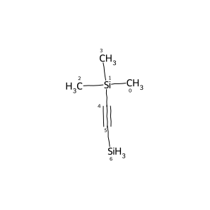 C[Si](C)(C)C#C[SiH3]